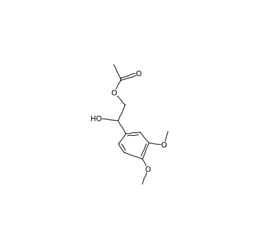 COc1ccc(C(O)COC(C)=O)cc1OC